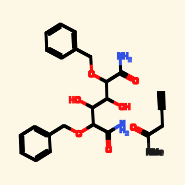 C#CCC(=O)NC.NC(=O)C(OCc1ccccc1)C(O)C(O)C(OCc1ccccc1)C(N)=O